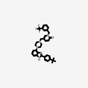 CC(C)(C)c1ccc(-c2nc3c(N4CCN(Cc5ccc(=O)n(Cc6cccc(C(F)(F)F)c6)c5)CC4)cccc3[nH]2)cc1